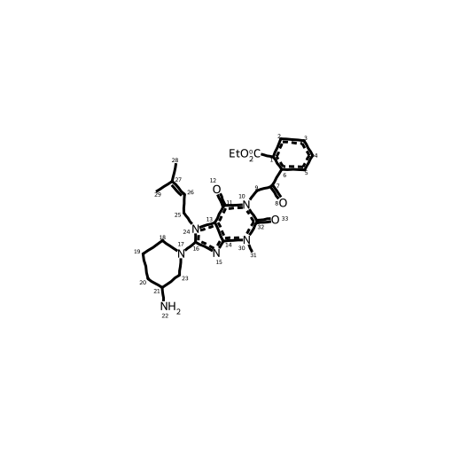 CCOC(=O)c1ccccc1C(=O)Cn1c(=O)c2c(nc(N3CCCC(N)C3)n2CC=C(C)C)n(C)c1=O